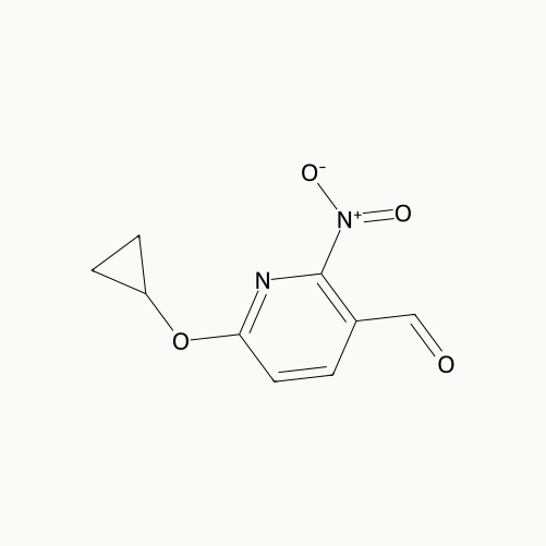 O=Cc1ccc(OC2CC2)nc1[N+](=O)[O-]